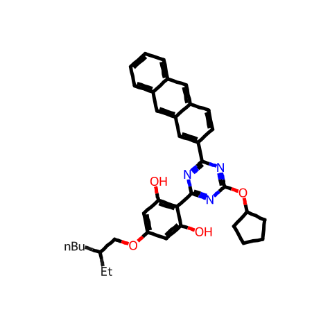 CCCCC(CC)COc1cc(O)c(-c2nc(OC3CCCC3)nc(-c3ccc4cc5ccccc5cc4c3)n2)c(O)c1